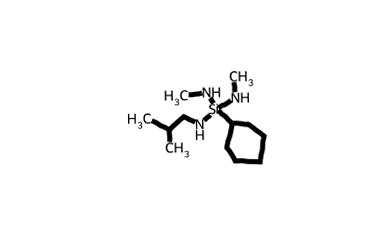 CN[Si](NC)(NCC(C)C)C1CCCCC1